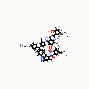 Cc1cc(C(c2ccc(Nc3c(C)cc(C)c(NC(=O)c4cc([N+](=O)[O-])cc([N+](=O)[O-])c4O)c3C)c(C)c2)c2ccc(S(=O)(=O)O)cc2S(=O)(=O)O)ccc1Nc1c(C)cc(C)c(NC(=O)c2cc([N+](=O)[O-])cc([N+](=O)[O-])c2O)c1C